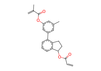 C=CC(=O)OC1CCc2c(-c3cc(C)cc(OC(=O)C(=C)C)c3)cccc21